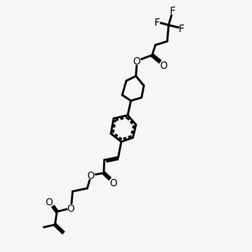 C=C(C)C(=O)OCCOC(=O)/C=C/c1ccc(C2CCC(OC(=O)CCC(F)(F)F)CC2)cc1